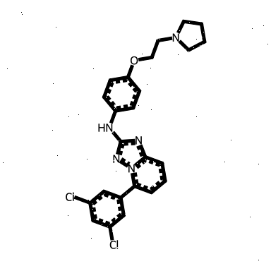 Clc1cc(Cl)cc(-c2cccc3nc(Nc4ccc(OCCN5CCCC5)cc4)nn23)c1